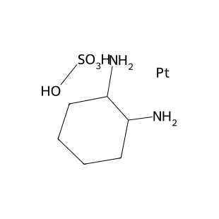 NC1CCCCC1N.O=S(=O)(O)O.[Pt]